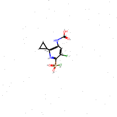 O=C(O)Nc1cc(F)c(S(=O)(=O)Cl)nc1C1CC1